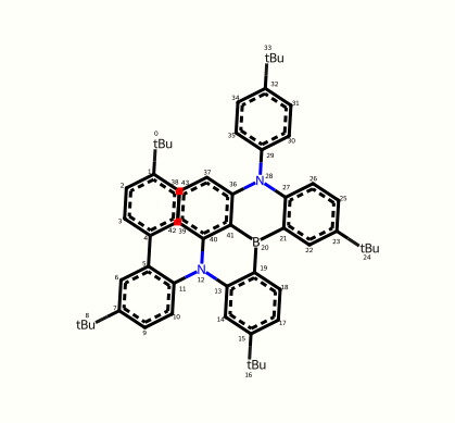 CC(C)(C)c1ccc(-c2cc(C(C)(C)C)ccc2N2c3cc(C(C)(C)C)ccc3B3c4cc(C(C)(C)C)ccc4N(c4ccc(C(C)(C)C)cc4)c4cccc2c43)cc1